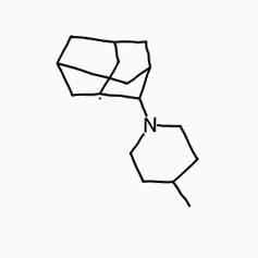 CC1CCN(C2[C]3CC4CC(C3)CC2C4)CC1